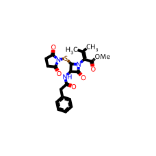 COC(=O)C(=C(C)C)N1C(=O)C(NC(=O)Cc2ccccc2)C1SN1C(=O)CCC1=O